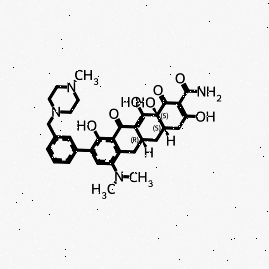 CN1CCN(Cc2cccc(-c3cc(N(C)C)c4c(c3O)C(=O)C3=C(O)[C@]5(O)C(=O)C(C(N)=O)=C(O)C[C@@H]5C[C@@H]3C4)c2)CC1